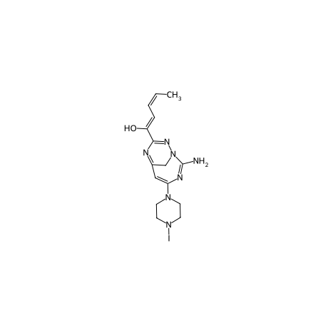 C/C=C\C=C(/O)C1=NN2CC(=N1)C=C(N1CCN(I)CC1)N=C2N